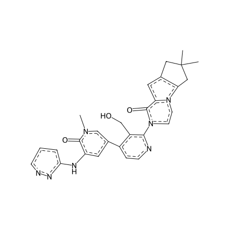 Cn1cc(-c2ccnc(-n3ccn4c5c(cc4c3=O)CC(C)(C)C5)c2CO)cc(Nc2cccnn2)c1=O